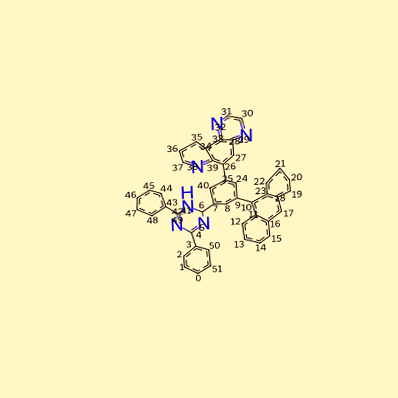 c1ccc(C2=NC(c3cc(-c4c5ccccc5cc5ccccc45)cc(-c4cc5nccnc5c5cccnc45)c3)NC(c3ccccc3)=N2)cc1